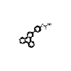 OBOc1ccc(-c2ccc3c4ccccc4c4ccccc4c3c2)cc1